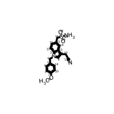 COc1ccc(Cn2cc(CC#N)c3cc(CS(N)(=O)=O)ccc32)cc1